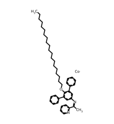 CCCCCCCCCCCCCCCCCCCCOc1c(-c2ccccc2)cc(N=C(C)c2ccccn2)cc1-c1ccccc1.[Co]